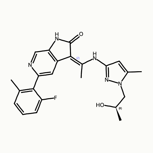 C/C(Nc1cc(C)n(C[C@@H](C)O)n1)=C1/C(=O)Nc2cnc(-c3c(C)cccc3F)cc21